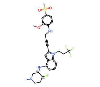 COc1cc(S(C)(=O)=O)ccc1NCC#Cc1cc2c(N[C@@H]3CN(C)CC[C@@H]3F)cccc2n1CCC(F)(F)F